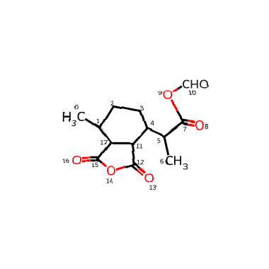 CC1CCC(C(C)C(=O)OC=O)C2C(=O)OC(=O)C12